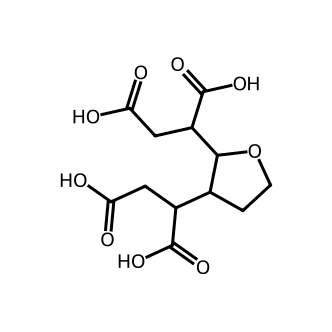 O=C(O)CC(C(=O)O)C1CCOC1C(CC(=O)O)C(=O)O